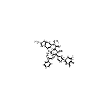 Cc1nc2ccc(N(C)C(=O)[C@@H]3O[C@@H]4COC(c5ccccc5)O[C@@H]4[C@H](n4cc(-c5cc(F)c(F)c(F)c5)nn4)[C@H]3O)cc2s1